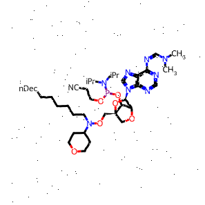 CCCCCCCCCCCCCCCCN(OC[C@]12COC(C1OP(OCCC#N)N(C(C)C)C(C)C)[C@H](n1cnc3c(/N=C\N(C)C)ncnc31)O2)C1CCOCC1